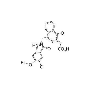 CCOc1cc2[nH]n(Cc3nn(CC(=O)O)c(=O)c4ccccc34)c(=O)c2cc1Cl